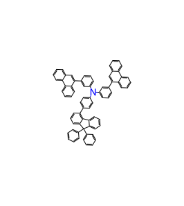 c1ccc(C2(c3ccccc3)c3ccccc3-c3c(-c4ccc(N(c5cccc(-c6cc7ccccc7c7ccccc67)c5)c5cccc(-c6cc7ccccc7c7ccccc67)c5)cc4)cccc32)cc1